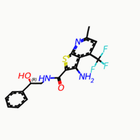 Cc1cc(C(F)(F)F)c2c(N)c(C(=O)NC[C@H](O)c3ccccc3)sc2n1